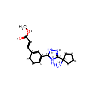 COC(=O)/C=C/C1=CC(C2NN=C(C3(N)CCCC3)N2)=CCC1